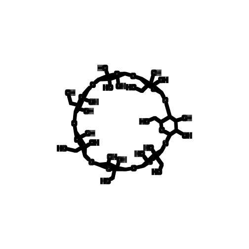 OCC1OC2OC3C(CO)OC(OC4C(CO)OC(OC5C(CO)OC(OC6C(CO)OC(OC7C(CO)OC(OC8C(O)OC(OC1C(O)C2O)C(O)C8O)C(O)C7O)C(O)C6O)C(O)C5O)C(O)C4O)C(O)C3O